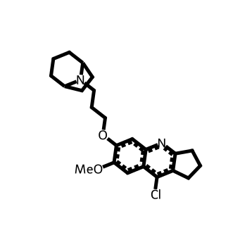 COc1cc2c(Cl)c3c(nc2cc1OCCCN1C2CCCC1CC2)CCC3